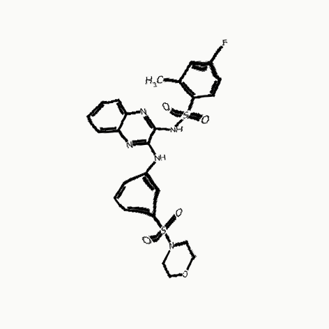 Cc1cc(F)ccc1S(=O)(=O)Nc1nc2ccccc2nc1Nc1cccc(S(=O)(=O)N2CCOCC2)c1